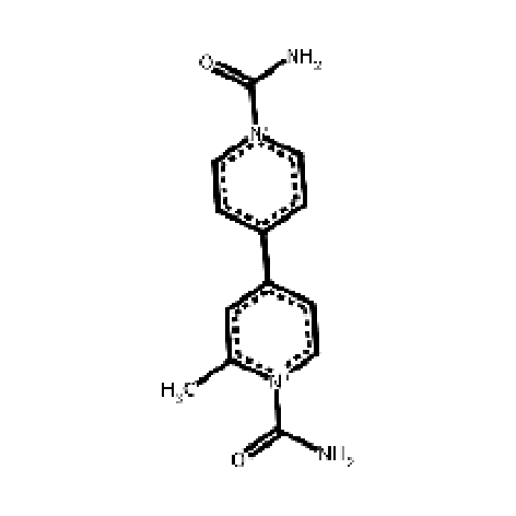 Cc1cc(-c2cc[n+](C(N)=O)cc2)cc[n+]1C(N)=O